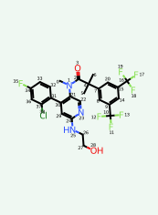 CN(C(=O)C(C)(C)c1cc(C(F)(F)F)cc(C(F)(F)F)c1)c1cnc(NCCO)cc1-c1ccc(F)cc1Cl